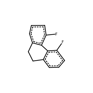 Fc1cccc2c1-c1c(F)cccc1CC2